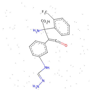 NN=CNc1cccc(C(=C=O)C(N)(C(=O)O)c2ccccc2C(F)(F)F)c1